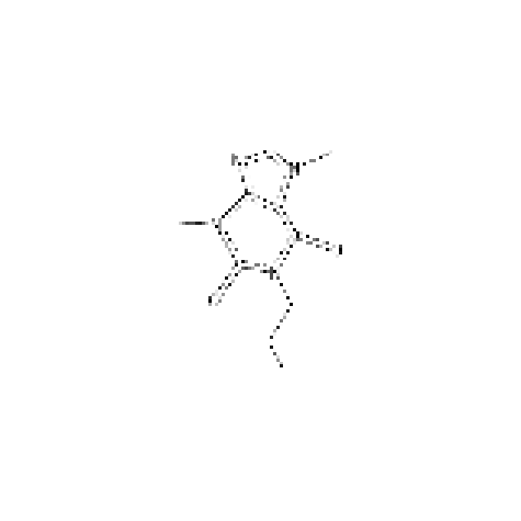 CCCn1c(=O)c2c(ncn2C)n(C)c1=O